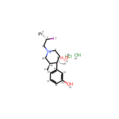 CC(C)[C@H](I)CN1CC[C@@](C)(c2cccc(O)c2)[C@@H](C)C1.Cl.Cl.O